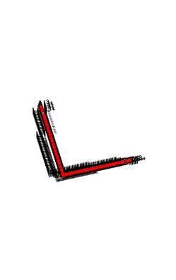 O.O.O.O.O.O.O.O.O.O.O.O.O.O.O.O.O.O.O.O.O.O.O.O.O.O.O.O.O.O.O.O.O.O.O.O.O.O.O.O.O.O.O.O.O.O.O.O.O.O.[Al+3].[Al+3].[Al+3].[Al+3].[Al+3].[Al+3].[Al+3].[Al+3].[Al+3].[Al+3].[OH-].[OH-].[OH-].[OH-].[OH-].[OH-].[OH-].[OH-].[OH-].[OH-].[OH-].[OH-].[OH-].[OH-].[OH-].[OH-].[OH-].[OH-].[OH-].[OH-].[OH-].[OH-].[OH-].[OH-].[OH-].[OH-].[OH-].[OH-].[OH-].[OH-]